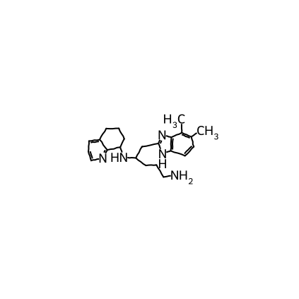 Cc1ccc2[nH]c(CC(CCCN)NC3CCCc4cccnc43)nc2c1C